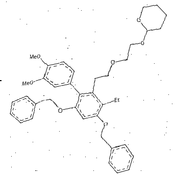 CCc1c(OCc2ccccc2)cc(OCc2ccccc2)c(-c2ccc(OC)c(OC)c2)c1CCOCCOC1CCCCO1